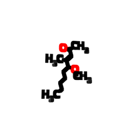 CCCCCC(OC)/C(C)=C/C(C)=O